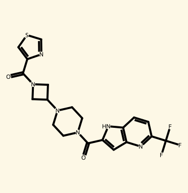 O=C(c1cscn1)N1CC(N2CCN(C(=O)c3cc4nc(C(F)(F)F)ccc4[nH]3)CC2)C1